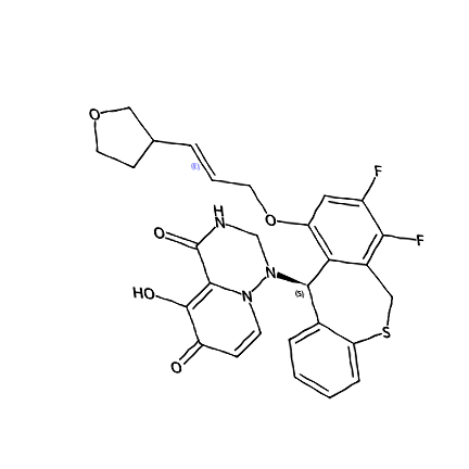 O=C1NCN([C@@H]2c3ccccc3SCc3c(F)c(F)cc(OC/C=C/C4CCOC4)c32)n2ccc(=O)c(O)c21